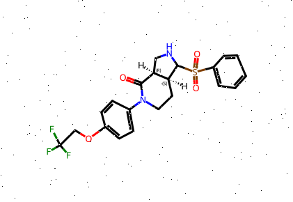 O=C1[C@H]2CNC(S(=O)(=O)c3ccccc3)[C@H]2CCN1c1ccc(OCC(F)(F)F)cc1